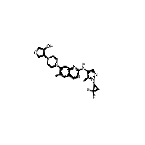 Cc1cc2cnc(Nc3cnn(C4CC4(F)F)c3C)nc2cc1N1CCN(C2COCC2O)CC1